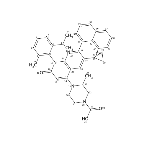 Cc1ccnc(C(C)C)c1-n1c(=O)nc(N2CCN(C(=O)O)CC2C)c2cc(C3CC3)c(-c3cccc4cccc(C)c34)nc21